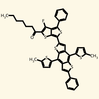 CCCCCCC(=O)c1sc2c(-c3cc4c(-c5ccc(C)s5)c5sc(-c6ccccc6)cc5c(-c5ccc(C)s5)c4s3)sc(-c3ccccc3)c2c1F